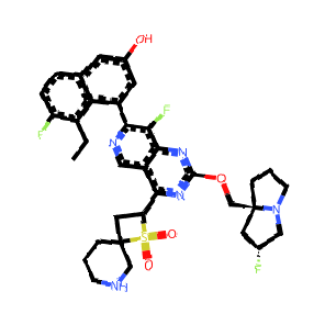 CCc1c(F)ccc2cc(O)cc(-c3ncc4c(C5CC6(CCCNC6)S5(=O)=O)nc(OC[C@@]56CCCN5C[C@H](F)C6)nc4c3F)c12